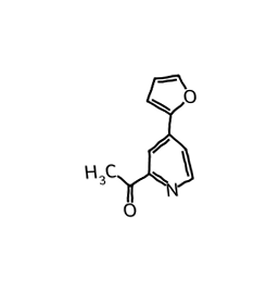 CC(=O)c1cc(-c2ccco2)ccn1